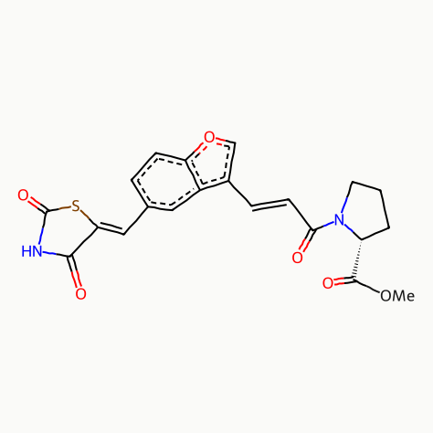 COC(=O)[C@H]1CCCN1C(=O)/C=C/c1coc2ccc(/C=C3\SC(=O)NC3=O)cc12